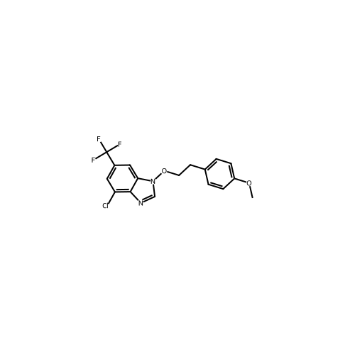 COc1ccc(CCOn2cnc3c(Cl)cc(C(F)(F)F)cc32)cc1